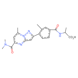 Cc1cc(C(=O)NC(C)C(=O)O)ccc1-c1cc2nc(C(=O)N(C)C)cc(C)n2n1